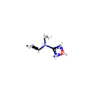 C=CN(C(=O)O)c1no[nH]1